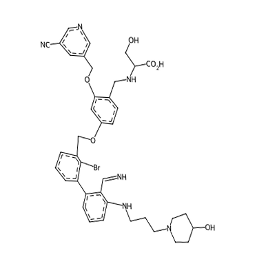 N#Cc1cncc(COc2cc(OCc3cccc(-c4cccc(NCCCN5CCC(O)CC5)c4C=N)c3Br)ccc2CNC(CO)C(=O)O)c1